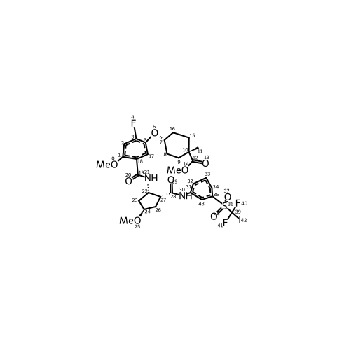 COc1cc(F)c(O[C@H]2CC[C@@](C)(C(=O)OC)CC2)cc1C(=O)N[C@H]1C[C@H](OC)C[C@H]1C(=O)Nc1cccc(S(=O)(=O)C(F)(F)I)c1